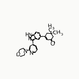 CC1(C)CC(=O)C=C(c2ccc3[nH]nc(C4=C=CC=NC(N5CCOCC5)=C4)c3c2)C1